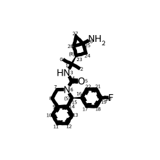 CC(C)(NC(=O)N1CCc2ccccc2[C@@H]1c1ccc(F)cc1)[C@@H]1CC2(N)CC12